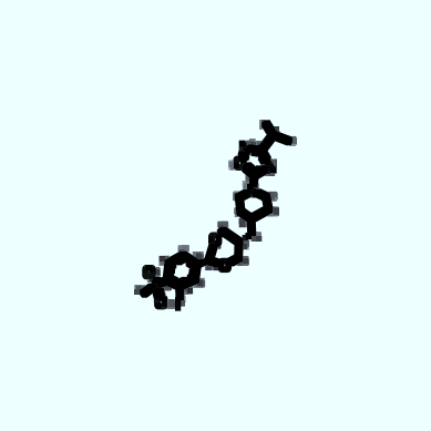 CC(C)c1noc(N2CCC(C[C@H]3CO[C@H](c4ccc(S(C)(=O)=O)c(F)c4)OC3)CC2)n1